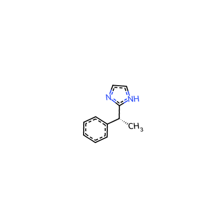 C[C@H](c1ccccc1)c1ncc[nH]1